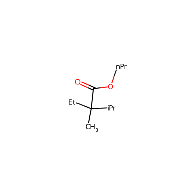 CCCOC(=O)C(C)(CC)C(C)C